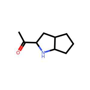 CC(=O)C1CC2CCCC2N1